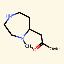 COC(=O)CC1CCNCCN1C